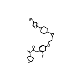 CC(C)c1noc(N2CCC([C@H]3C[C@H]3CCOc3ccc(CC(=O)N(C)C4CCOC4)c(F)c3)CC2)n1